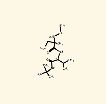 CCC(C)([SiH2]O[SiH3])C(=O)N[C@H](C(=O)NC(C)(C)C)C(C)C